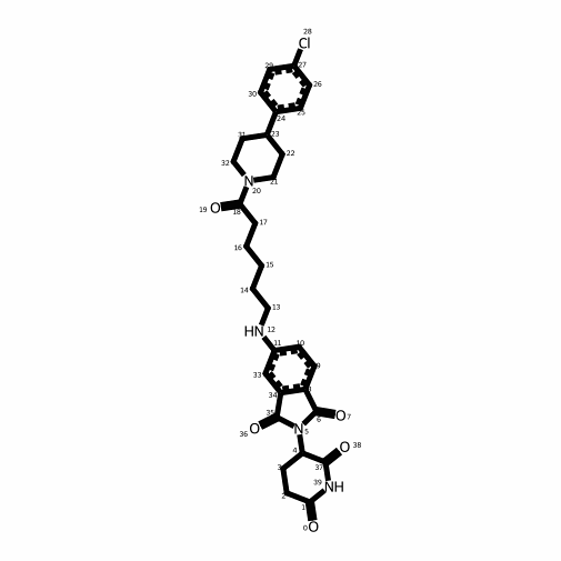 O=C1CCC(N2C(=O)c3ccc(NCCCCCC(=O)N4CCC(c5ccc(Cl)cc5)CC4)cc3C2=O)C(=O)N1